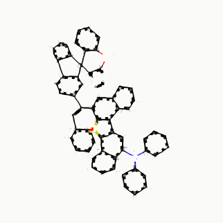 C(=C(\c1ccc2c(c1)C1(c3ccccc3Oc3ccccc31)c1ccccc1-2)c1cc2ccccc2c2c1sc1c3ccccc3c(N(c3ccccc3)c3ccccc3)cc12)/c1ccccc1